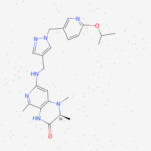 Cc1nc(NCc2cnn(Cc3ccc(OC(C)C)nc3)c2)cc2c1NC(=O)[C@H](C)N2C